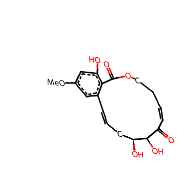 COc1cc(O)c2c(c1)/C=C/C[C@H](O)C(O)C(=O)/C=C\CCOC2=O